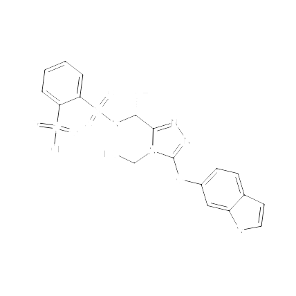 CCn1c(Oc2ccc3cc[nH]c3c2)nnc1[C@@H](C)NS(=O)(=O)c1ccccc1S(C)(=O)=O